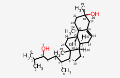 CC(C)[C@@H](O)CC[C@@H](C)[C@H]1CC[C@H]2[C@@H]3CC=C4C[C@@](C)(O)CC[C@]4(C)[C@H]3CCC12C